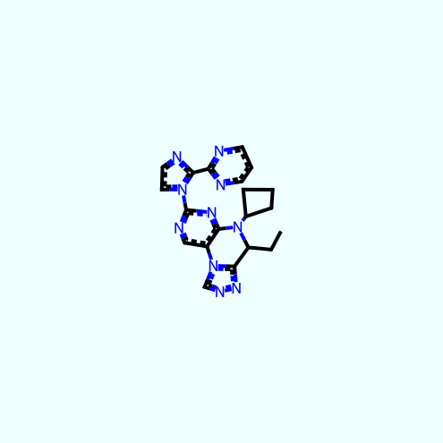 CCC1c2nncn2-c2cnc(-n3ccnc3-c3ncccn3)nc2N1C1CCC1